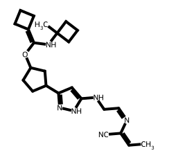 C/C=C(C#N)\N=C/CNc1cc(C2CCC(OC(NC3(C)CCC3)=C3CCC3)C2)n[nH]1